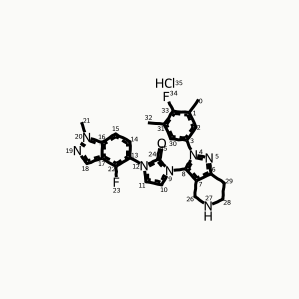 Cc1cc(-n2nc3c(c2-n2ccn(-c4ccc5c(cnn5C)c4F)c2=O)CNCC3)cc(C)c1F.Cl